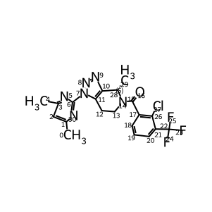 Cc1cc(C)nc(-n2nnc3c2CCN(C(=O)c2cccc(C(F)(F)F)c2Cl)[C@H]3C)n1